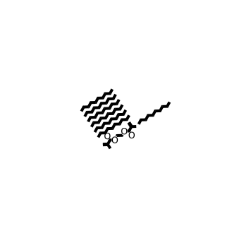 C=C(C)C(=O)OCCOC(=O)C(=C)C.CCCCCCCCCC.CCCCCCCCCC.CCCCCCCCCC.CCCCCCCCCC.CCCCCCCCCC.CCCCCCCCCC.CCCCCCCCCC